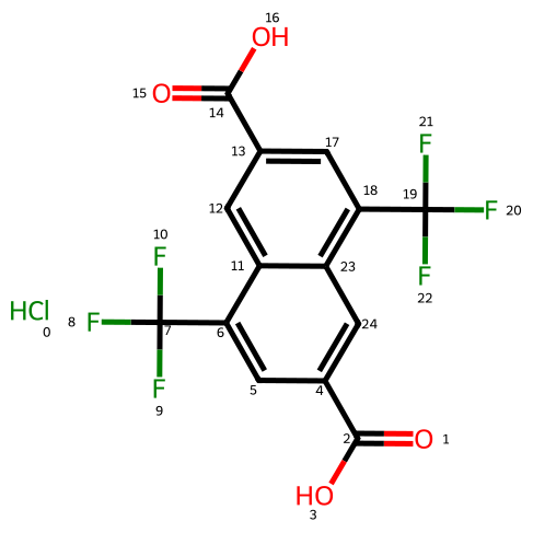 Cl.O=C(O)c1cc(C(F)(F)F)c2cc(C(=O)O)cc(C(F)(F)F)c2c1